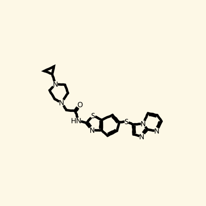 O=C(CN1CCN(C2CC2)CC1)Nc1nc2ccc(Sc3cnc4ncccn34)cc2s1